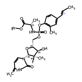 C=C1C=CN([C@@H]2O[C@H](COP(=O)(N[C@@H](C)C(=O)OC(C)C)Oc3ccc(/C=C/C)cc3C)[C@@H](O)[C@@]2(C)F)C(=O)N1